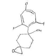 OC1(c2c(F)cc(Cl)cc2F)CCC2(CC1)CO2